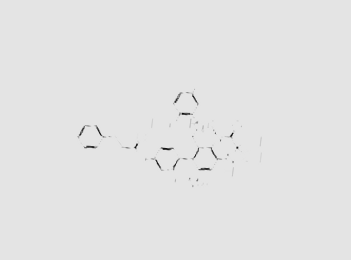 COc1cc(OC(=O)CCc2ccccc2)ccc1-c1ccc2c(c1COc1cc(F)ccc1C)N(C)C(=O)C(C)(C)N2